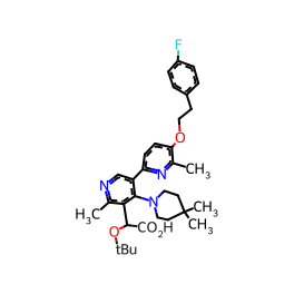 Cc1nc(-c2cnc(C)c(C(OC(C)(C)C)C(=O)O)c2N2CCC(C)(C)CC2)ccc1OCCc1ccc(F)cc1